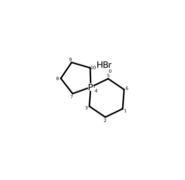 Br.C1CC[P]2(CC1)CCCC2